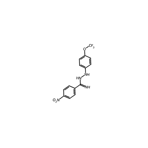 N=C(NNc1ccc(OC(F)(F)F)cc1)c1ccc([N+](=O)[O-])cc1